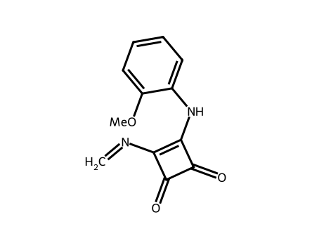 C=Nc1c(Nc2ccccc2OC)c(=O)c1=O